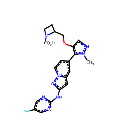 Cn1ncc(OCC2CCN2C(=O)O)c1-c1ccn2nc(Nc3ncc(F)cn3)cc2c1